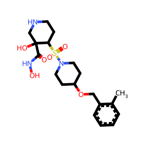 Cc1ccccc1COC1CCN(S(=O)(=O)C2CCNCC2(O)C(=O)NO)CC1